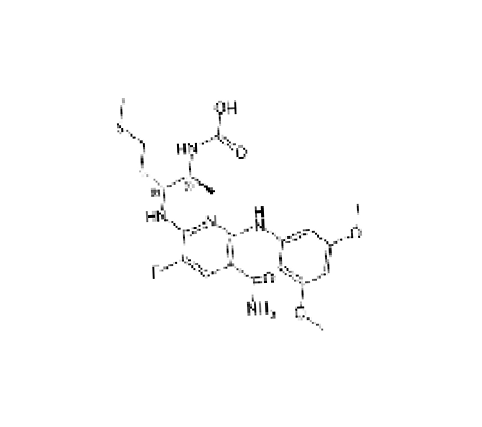 COc1cc(Nc2nc(N[C@H](CCSC)[C@H](C)NC(=O)O)c(F)cc2C(N)=O)cc(OC)c1